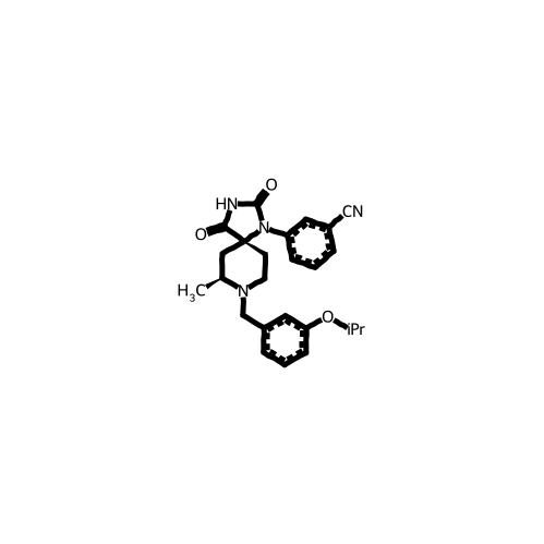 CC(C)Oc1cccc(CN2CC[C@@]3(C[C@@H]2C)C(=O)NC(=O)N3c2cccc(C#N)c2)c1